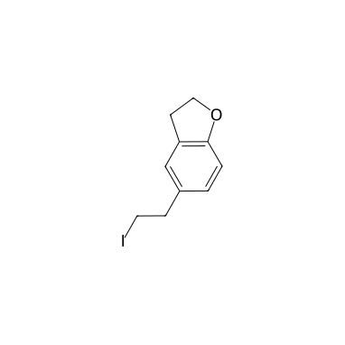 ICCc1ccc2c(c1)CCO2